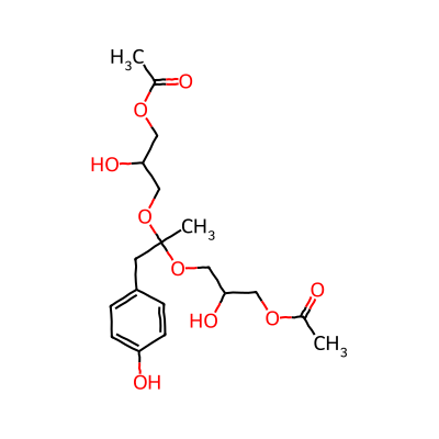 CC(=O)OCC(O)COC(C)(Cc1ccc(O)cc1)OCC(O)COC(C)=O